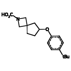 CC(C)(C)c1ccc(OC2CCC3(C2)CN(C(=O)O)C3)cc1